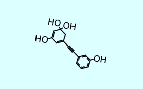 OC1=CC(O)(O)CC(C#Cc2cccc(O)c2)=C1